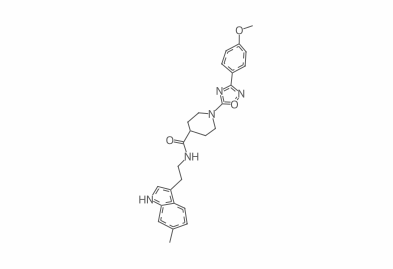 COc1ccc(-c2noc(N3CCC(C(=O)NCCc4c[nH]c5cc(C)ccc45)CC3)n2)cc1